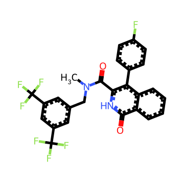 CN(Cc1cc(C(F)(F)F)cc(C(F)(F)F)c1)C(=O)c1[nH]c(=O)c2ccccc2c1-c1ccc(F)cc1